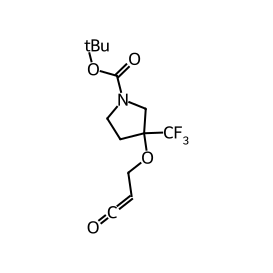 CC(C)(C)OC(=O)N1CCC(OCC=C=O)(C(F)(F)F)C1